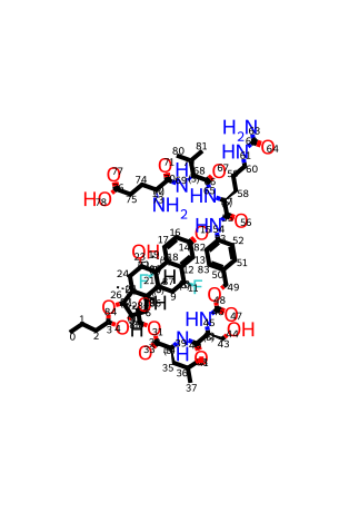 CCCC1O[C@@H]2C[C@H]3[C@@H]4C[C@H](F)C5=CC(=O)C=C[C@]5(C)[C@@]4(F)[C@@H](O)C[C@]3(C)[C@]2(C(=O)COC(=O)[C@H](CC(C)C)NC(=O)[C@H](CO)NC(=O)OCc2ccc(NC(=O)[C@H](CCCNC(N)=O)NC(=O)[C@@H](NC(=O)[C@H](N)CCC(=O)O)C(C)C)cc2)O1